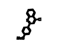 COc1ccc(-c2cc(Cl)c3ccccc3n2)cc1